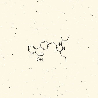 CCCc1nc(Cc2ccc(-c3ccccc3C(=O)O)cc2)n(C(C)CC)n1